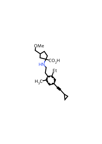 CCc1cc(C#CC2CC2)cc(C)c1CCNC1(C(=O)O)CCC(COC)C1